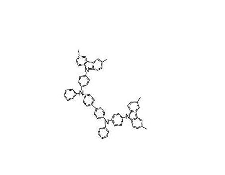 Cc1ccc2c(c1)c1cc(C)ccc1n2-c1ccc(N(c2ccccc2)c2ccc(-c3ccc(N(c4ccccc4)c4ccc(-n5c6ccc(C)cc6c6cc(C)ccc65)cc4)cc3)cc2)cc1